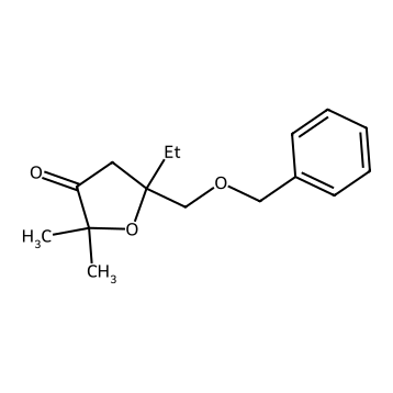 CCC1(COCc2ccccc2)CC(=O)C(C)(C)O1